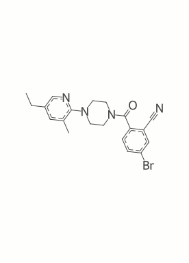 CCc1cnc(N2CCN(C(=O)c3ccc(Br)cc3C#N)CC2)c(C)c1